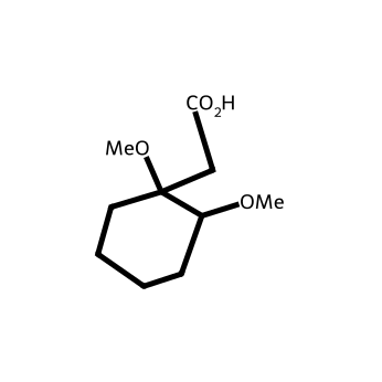 COC1CCCCC1(CC(=O)O)OC